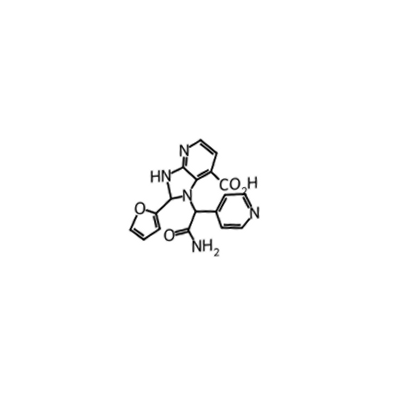 NC(=O)C(c1ccncc1)N1c2c(C(=O)O)ccnc2NC1c1ccco1